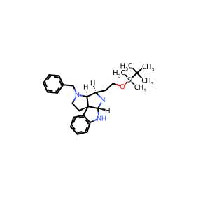 CC(C)(C)[Si](C)(C)OCC1[C@@H]2[C@@H]3N(Cc4ccccc4)CC[C@@]34c3ccccc3N[C@H]4[N@]12